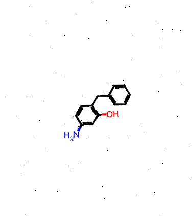 Nc1[c]cc(Cc2ccccc2)c(O)c1